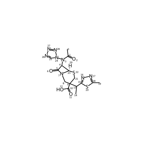 CC(=O)N(C1C(=O)N2CC(C(=O)O)(C(C)c3nnc(C)s3)CS[C@H]12)n1cnnn1